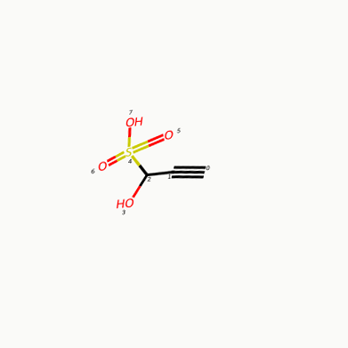 C#CC(O)S(=O)(=O)O